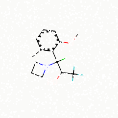 COc1cccc(C)c1C(Cl)(C(O)C(F)(F)F)N1CCC1